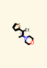 CC/C(=C(/C)N1CCOCC1)c1cccs1